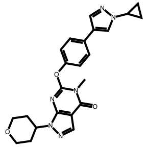 Cn1c(Oc2ccc(-c3cnn(C4CC4)c3)cc2)nc2c(cnn2C2CCOCC2)c1=O